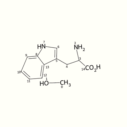 CO.NC(Cc1c[nH]c2ccccc12)C(=O)O